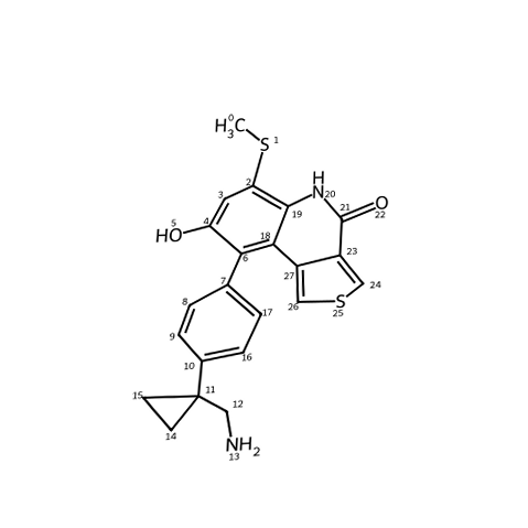 CSc1cc(O)c(-c2ccc(C3(CN)CC3)cc2)c2c1[nH]c(=O)c1cscc12